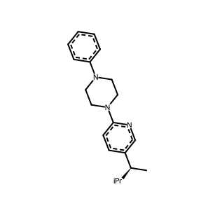 CC(C)[C@H](C)c1ccc(N2CCN(c3ccccc3)CC2)nc1